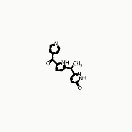 CC(c1ccc(=O)[nH]n1)c1ccc(C(=O)c2ccncc2)[nH]1